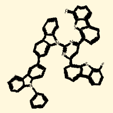 Fc1cccc2c1sc1c(-c3cc(-c4cccc5c4sc4c(F)cccc45)nc(-n4c5ccccc5c5ccc(-c6ccc7c(c6)c6ccccc6n7-c6ccccc6)cc54)n3)cccc12